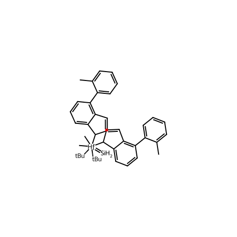 Cc1ccccc1-c1cccc2c1C=C[CH]2[Hf]([CH3])([CH3])(=[SiH2])([CH]1C=Cc2c(-c3ccccc3C)cccc21)([C](C)(C)C)[C](C)(C)C